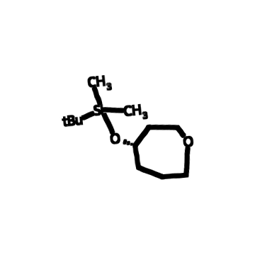 CC(C)(C)[Si](C)(C)O[C@H]1CCCOCC1